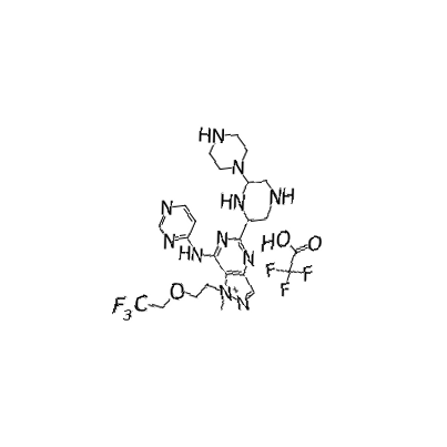 C[N+]1(CCOCC(F)(F)F)N=Cc2nc(C3CNCC(N4CCNCC4)N3)nc(Nc3ccncn3)c21.O=C(O)C(F)(F)F